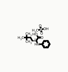 CC(C)(C)CC[C@H](Nc1ccccc1)C(=O)O.CS(=O)(=O)O